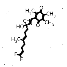 CC1=C(C)C(=O)C(CC[C@](C)(O)CC/C=C(\C)CCC=C(F)F)=C(C)C1=O